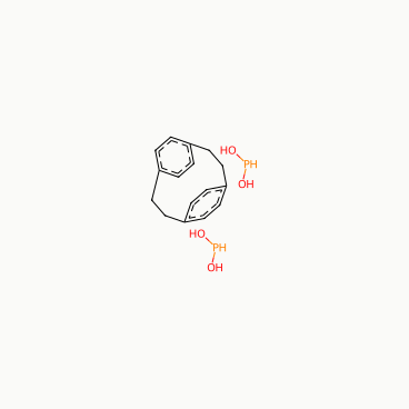 OPO.OPO.c1cc2ccc1CCc1ccc(cc1)CC2